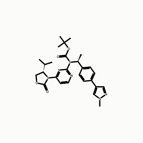 CC(C)[C@H]1COC(=O)N1c1ccnc(N(C(=O)OC(C)(C)C)[C@@H](C)c2ccc(-c3cnn(C)c3)cc2)n1